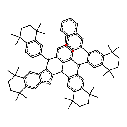 Cc1cc2c3c(c1)N(c1ccc4c(c1)C(C)(C)CCC4(C)C)c1c(sc4cc5c(cc14)C(C)(C)CCC5(C)C)B3c1cc3c(cc1N2c1cc2c(cc1-c1ccc4ccccc4c1)C(C)(C)CCC2(C)C)C(C)(C)CCC3(C)C